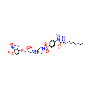 CCCCCCCCNC(=O)Nc1ccc(S(=O)(=O)N2CCC(CNC[C@H](O)COc3ccc(O)c4c3CCC(=O)N4)CC2)cc1